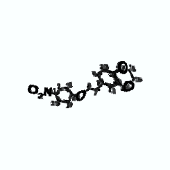 O=[N+]([O-])c1ccc(OC[CH]c2ccc3c(c2)OCCO3)cc1